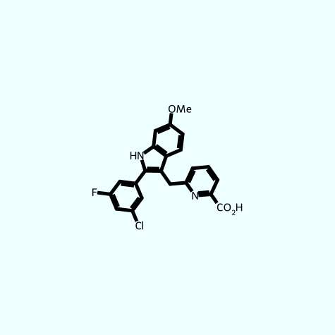 COc1ccc2c(Cc3cccc(C(=O)O)n3)c(-c3cc(F)cc(Cl)c3)[nH]c2c1